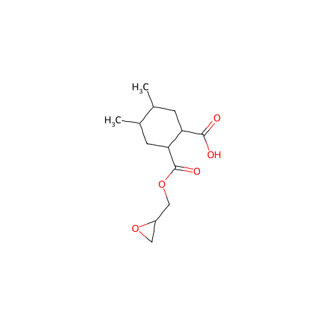 CC1CC(C(=O)O)C(C(=O)OCC2CO2)CC1C